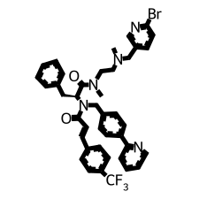 CN(CCN(C)C(=O)[C@H](Cc1ccccc1)N(Cc1ccc(-c2ccccn2)cc1)C(=O)C=Cc1ccc(C(F)(F)F)cc1)Cc1ccc(Br)nc1